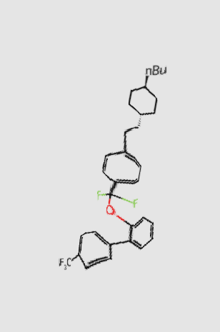 CCCC[C@H]1CC[C@H](CCc2ccc(C(F)(F)Oc3ccccc3-c3ccc(C(F)(F)F)cc3)cc2)CC1